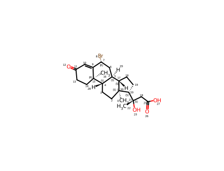 C[C@]12CC[C@H]3[C@@H](C[C@@H](Br)C4=CC(=O)CC[C@@]43C)[C@@H]1CC[C@@H]2[C@@](C)(O)CC(=O)O